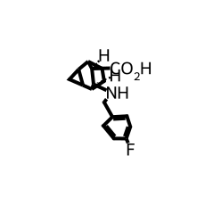 O=C(O)[C@@H]1C2CCC(C3CC32)[C@@H]1NCc1ccc(F)cc1